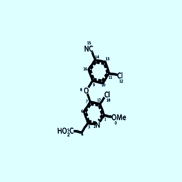 COc1nc(CC(=O)O)cc(Oc2cc(Cl)cc(C#N)c2)c1Cl